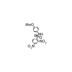 COc1ccc(NS(=O)(=O)c2ccc([N+](=O)[O-])cc2[N+](=O)[O-])cc1